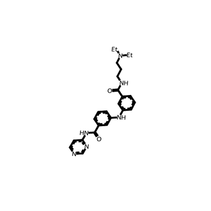 CCN(CC)CCCNC(=O)c1cccc(Nc2cccc(C(=O)Nc3ccncn3)c2)c1